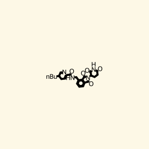 CCCCC1C=NC(C(=O)NCc2cccc3c2C(=O)N(C2CCC(=O)NC2=O)C3=O)=CC1